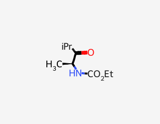 CCOC(=O)N[C@@H](C)C(=O)C(C)C